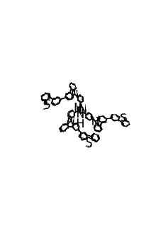 c1cc(C2=NC(c3cccc(-n4c5ccccc5c5cc(-c6ccc7sc8ccccc8c7c6)ccc54)c3)NC(c3ccc(-n4c5ccccc5c5cc(-c6ccc7sc8ccccc8c7c6)ccc54)cc3)=N2)cc(-n2c3ccccc3c3cc(-c4ccc5sc6ccccc6c5c4)ccc32)c1